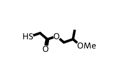 COC(C)COC(=O)CS